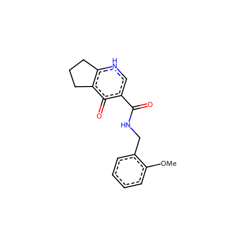 COc1ccccc1CNC(=O)c1c[nH]c2c(c1=O)CCC2